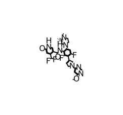 COc1cc(N2CC=C(c3c(F)cc(N4CCN(C)[C@@H](C)C4)c(NC(=O)c4c[nH]c(=O)cc4C(F)F)c3F)C2)ncn1